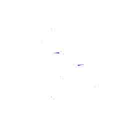 CSCC[C@H](N)C(=O)O.N[C@@H](Cc1cnc[nH]1)C(=O)O.O=S